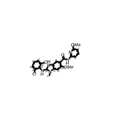 COc1cccc(NC(=O)c2cc3c(cc2OC)N(C)C(Nc2c(Cl)cccc2Cl)N3)n1